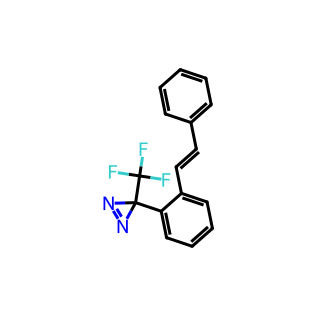 FC(F)(F)C1(c2ccccc2/C=C/c2ccccc2)N=N1